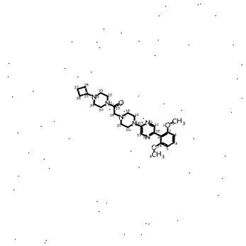 COc1cccc(OC)c1-c1cnc(N2CCN(CC(=O)N3CCN(C4CCC4)CC3)CC2)cn1